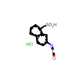 Cl.O=C=Nc1ccc2cccc(S(=O)(=O)O)c2c1